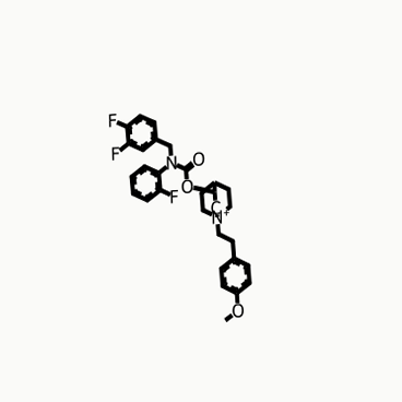 COc1ccc(CC[N+]23CCC(CC2)C(OC(=O)N(Cc2ccc(F)c(F)c2)c2ccccc2F)C3)cc1